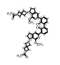 COc1nc(-c2cccc(-c3cccc(-c4cc5c(c(OC)n4)[C@@H](N4CC6(CN(C(C)=O)C6)C4)CC5)c3Cl)c2Cl)cc2c1[C@H](N1CC3(CN(C(C)=O)C3)C1)CC2